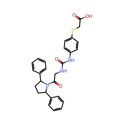 O=C(O)CSc1ccc(NC(=O)NCC(=O)N2C(c3ccccc3)CCC2c2ccccc2)cc1